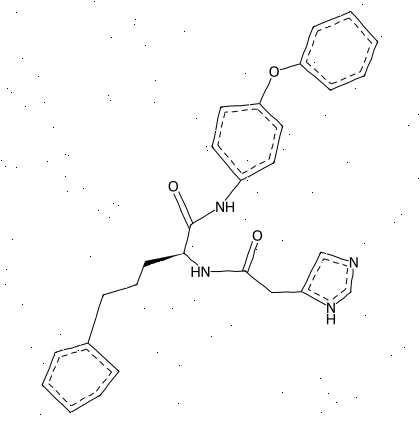 O=C(Cc1cnc[nH]1)N[C@@H](CCCc1ccccc1)C(=O)Nc1ccc(Oc2ccccc2)cc1